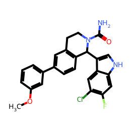 COc1cccc(-c2ccc3c(c2)CCN(C(N)=O)C3c2c[nH]c3cc(F)c(Cl)cc23)c1